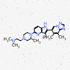 Cc1c(-c2[nH]c3ccc(N4CCN(CCN(C)C)C[C@@H]4C)nc3c2C(C)C)cn2ncnc2c1C